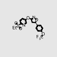 CCS(=O)(=O)c1ccc(OC2=NO[C@@H](c3ccc(OC(F)(F)F)cc3)C2)cn1